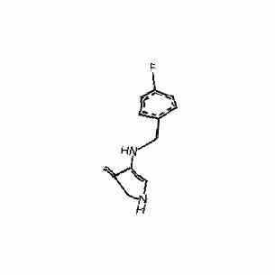 C=C1CNC=C1NCc1ccc(F)cc1